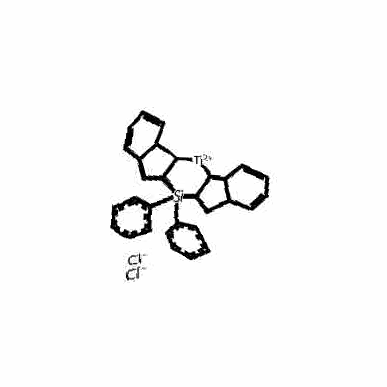 C1=CC2CC3[CH]([Ti+2][CH]4C5C=CC=CC5CC4[Si]3(c3ccccc3)c3ccccc3)C2C=C1.[Cl-].[Cl-]